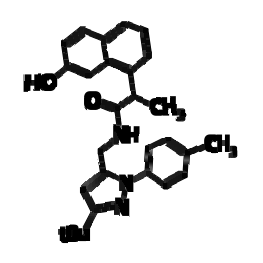 Cc1ccc(-n2nc(C(C)(C)C)cc2CNC(=O)C(C)c2cccc3ccc(O)cc23)cc1